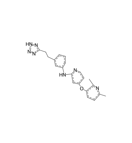 Cc1ccc(Oc2ccnc(Nc3cccc(CCc4nn[nH]n4)c3)c2)c(C)n1